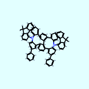 CC1(C)c2ccccc2-c2c(-n3c4ccccc4c4cccc5c6ccccc6n(-c6cccc7c6-c6ccccc6C7(C)C)c6ccc(-c7ccccc7)cc6c6cccc(c7cc(-c8ccccc8)ccc73)c6c45)cccc21